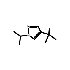 CC(C)n1cc(C(C)(C)C)cn1